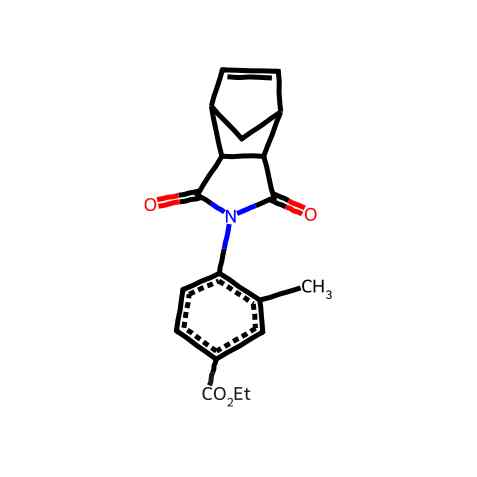 CCOC(=O)c1ccc(N2C(=O)C3C4C=CC(C4)C3C2=O)c(C)c1